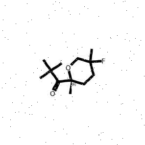 CC1(F)CC[C@](C)(C(=O)C(C)(C)C)OC1